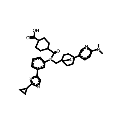 CN(C)c1ccc(C23CCC(CN(C(=O)C4CCC(C(=O)O)CC4)c4cccc(-c5cnc(C6CC6)s5)c4)(CC2)CC3)cn1